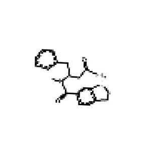 CN(C(=O)c1ccc2c(c1)OCC2)C(CC(N)=O)Cc1ccccc1